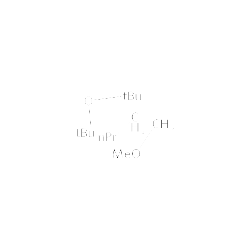 CC(C)(C)OC(C)(C)C.CCCC.COC